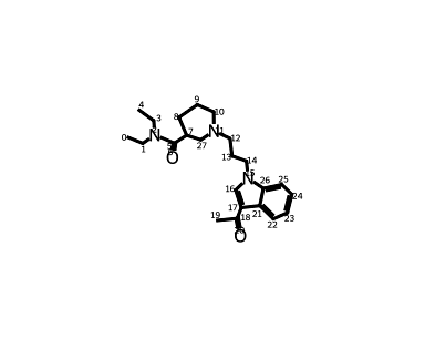 CCN(CC)C(=O)C1CCCN(CCCn2cc(C(C)=O)c3ccccc32)C1